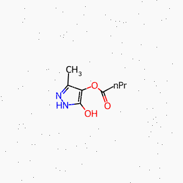 CCCC(=O)Oc1c(C)n[nH]c1O